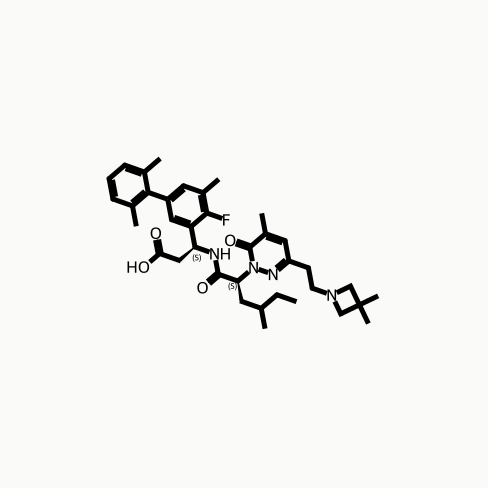 CCC(C)C[C@@H](C(=O)N[C@@H](CC(=O)O)c1cc(-c2c(C)cccc2C)cc(C)c1F)n1nc(CCN2CC(C)(C)C2)cc(C)c1=O